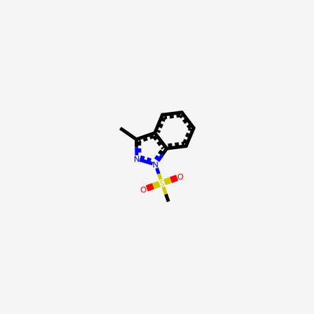 Cc1nn(S(C)(=O)=O)c2ccccc12